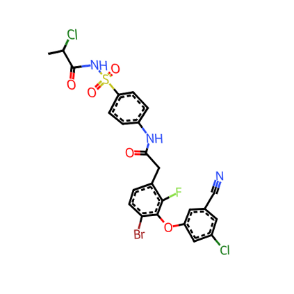 CC(Cl)C(=O)NS(=O)(=O)c1ccc(NC(=O)Cc2ccc(Br)c(Oc3cc(Cl)cc(C#N)c3)c2F)cc1